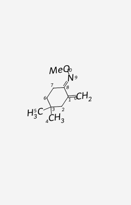 C=C1CC(C)(C)CCC1=NOC